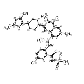 Cc1cc([C@@H](C)Nc2ccc(Cl)nc2C(=O)NS(C)(=O)=O)c2nc(N3CCC(c4nn(C)cc4C#N)CC3)n(C)c(=O)c2c1